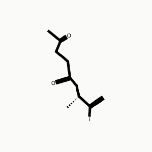 C=C(I)[C@H](C)CC(=O)CCC(C)=O